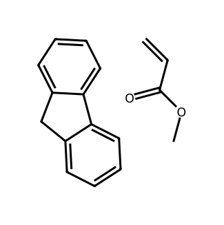 C=CC(=O)OC.c1ccc2c(c1)Cc1ccccc1-2